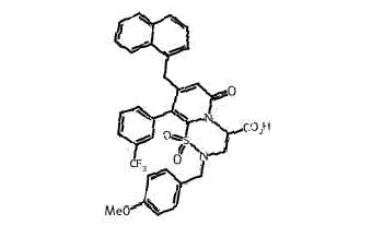 COc1ccc(CN2CC(C(=O)O)n3c(c(-c4cccc(C(F)(F)F)c4)c(Cc4cccc5ccccc45)cc3=O)S2(=O)=O)cc1